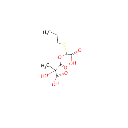 CCCSC(OC(=O)C(C)(O)C(=O)O)C(=O)O